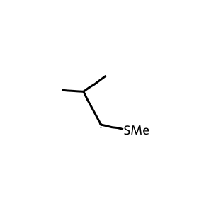 CS[CH]C(C)C